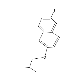 CC(C)COc1[c]c2ccc(I)cc2cc1